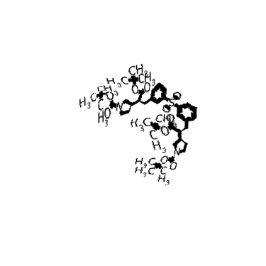 CC(C)(C)OC(=O)[C@@H](Cc1cccc(S(=O)(=O)c2cccc(C[C@H](C(=O)OC(C)(C)C)[C@H]3CCN(C(=O)OC(C)(C)C)C3)c2)c1)[C@H]1CCN(C(=O)OC(C)(C)C)C1